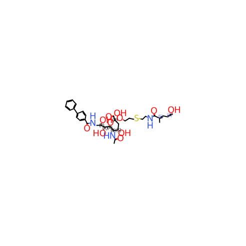 CC(=O)N[C@H]1[C@H]([C@H](O)[C@H](O)CNC(=O)c2ccc(-c3ccccc3)cc2)O[C@@](OCCCSCCNC(=O)/C(C)=C/C=C\O)(C(=O)O)C[C@@H]1O